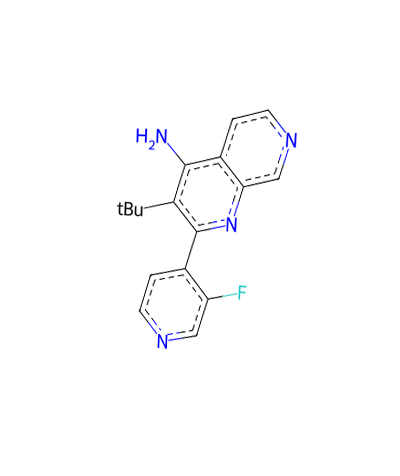 CC(C)(C)c1c(-c2ccncc2F)nc2cnccc2c1N